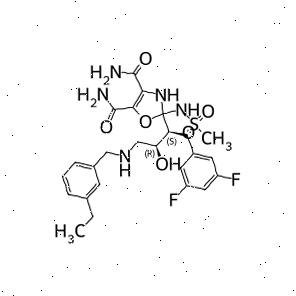 CCc1cccc(CNC[C@H](O)[C@H](Cc2cc(F)cc(F)c2)C2(NS(C)(=O)=O)NC(C(N)=O)=C(C(N)=O)O2)c1